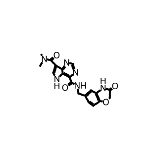 CN(C)C(=O)c1c[nH]c2c(C(=O)NCc3ccc4c(c3)NC(=O)CO4)ncnc12